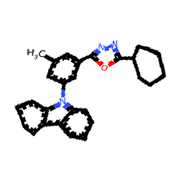 Cc1cc(-c2nnc(C3CCCCC3)o2)cc(-n2c3ccccc3c3ccccc32)c1